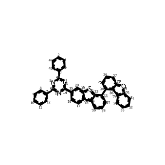 c1ccc(-c2nc(-c3ccccc3)nc(-c3ccc4c(c3)sc3c(-c5cccc6oc7ccccc7c56)cccc34)n2)cc1